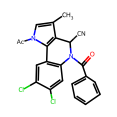 CC(=O)n1cc(C)c2c1-c1cc(Cl)c(Cl)cc1N(C(=O)c1ccccc1)C2C#N